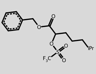 CC(C)CCCC(OS(=O)(=O)C(F)(F)F)C(=O)OCc1ccccc1